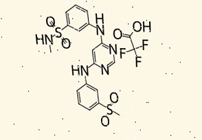 CNS(=O)(=O)c1cccc(Nc2cc(Nc3cccc(S(C)(=O)=O)c3)ncn2)c1.O=C(O)C(F)(F)F